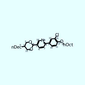 CCCCCCCCCCC1COC(c2ccc(-c3ccc(OCCCCCCCC)c(Cl)c3)nc2)OC1